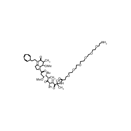 CC[C@H](C)[C@@H](C(CC(=O)N1CCC[C@H]1[C@H](OC)C(C)C(=O)NCCC1C=CC=CC=C1)OC)N(C)C(=O)[C@@H](NC(=O)C(C)(C)NC(=O)CCOCCOCCOCCOCCOCCOCCN)C(C)C